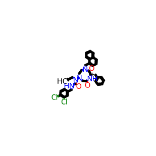 C#CCN(C(=O)NCc1ccc(Cl)c(Cl)c1)N1CCN(Cc2cccc3ccccc23)C(=O)[C@H](Cc2ccccc2)NC(=O)C1